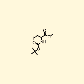 COC(=O)C(CI)NC(=O)OC(C)(C)C